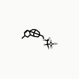 CC1C=C2C3CC4CC(CC2(COC(=O)C(F)(F)S(=O)(=O)O)C4)C3C1